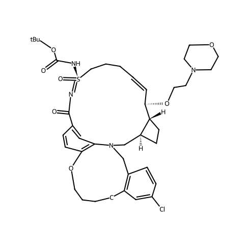 CC(C)(C)OC(=O)N[S@]1(=O)=NC(=O)c2ccc3c(c2)N(Cc2ccc(Cl)cc2CCCCO3)C[C@@H]2CC[C@H]2[C@@H](OCCN2CCOCC2)/C=C/CCC1